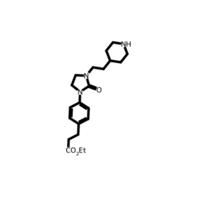 CCOC(=O)CCc1ccc(N2CCN(CCC3CCNCC3)C2=O)cc1